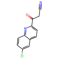 N#CCC(=O)c1ccc2cc(Cl)ccc2n1